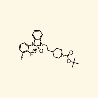 CC(C)(C)OC(=O)N1CCC(CCN2c3ccccc3N(c3cccc(F)c3F)S2(=O)=O)CC1